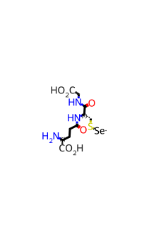 N[C@@H](CCC(=O)N[C@@H](CS[Se])C(=O)NCC(=O)O)C(=O)O